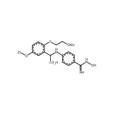 CCOc1ccc(OCCOC)c(C(Nc2ccc(C(=N)NO)cc2)C(=O)O)c1